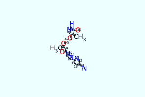 Cc1c(OCCO[C@@H](C)CC(=O)N2CCN(c3ccc(C#N)cn3)CC2)cn[nH]c1=O